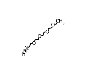 CCOCCOCCOCCOCCN=[N+]=[N-]